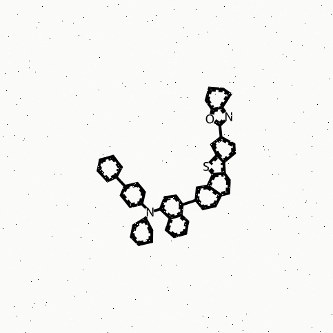 c1ccc(-c2ccc(N(c3ccccc3)c3ccc(-c4ccc5ccc6c7ccc(-c8nc9ccccc9o8)cc7sc6c5c4)c4ccccc34)cc2)cc1